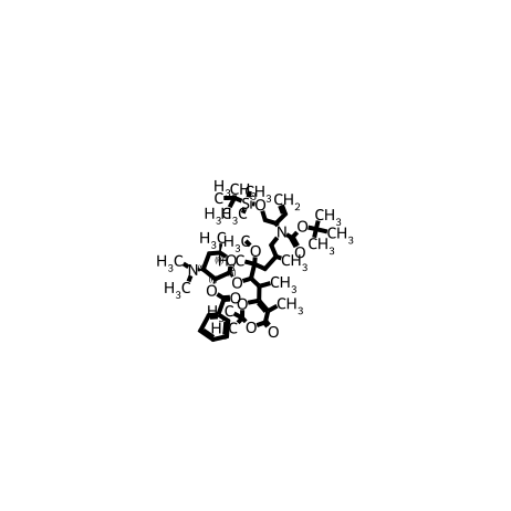 C=CC(CO[Si](C)(C)C(C)(C)C)N(CC(C)CC(C)(OC)C(O[C@@H]1O[C@H](C)C[C@H](N(C)C)[C@H]1OC(=O)c1ccccc1)C(C)C1=C(C)C(=O)OC(C)(C)O1)C(=O)OC(C)(C)C